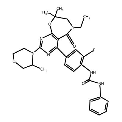 CCN1CC(C)(C)Oc2nc(N3CCOCC3C)nc(-c3ccc(NC(=O)Nc4ccccn4)c(F)c3)c2C1=O